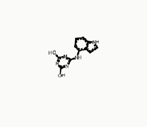 Oc1nc(O)nc(Nc2cccc3[nH]ccc23)n1